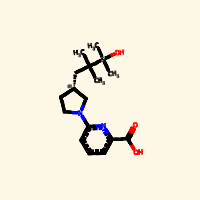 CC(C)(C[C@H]1CCN(c2cccc(C(=O)O)n2)C1)[Si](C)(C)O